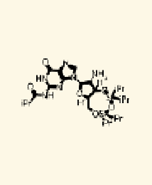 CC(C)C(=O)Nc1nc2c(ncn2[C@@H]2O[C@@H]3CO[Si](C(C)C)(C(C)C)O[Si](C(C)C)(C(C)C)O[C@H]3[C@H]2N)c(=O)[nH]1